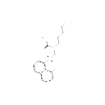 C[CH][C@@H](N(CCCCO)C(=O)OC(C)(C)C)S(=O)(=O)c1cccc2cncc(F)c12